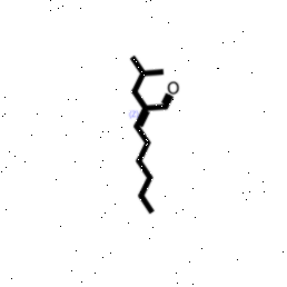 CCCCC/C=C(\C=O)CC(C)C